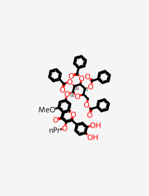 CCCOc1c(-c2ccc(O)c(O)c2)oc2cc(O[C@@H]3OC(COC(=O)c4ccccc4)[C@@H](OC(=O)c4ccccc4)C(OC(=O)c4ccccc4)[C@@H]3OC(=O)c3ccccc3)cc(OC)c2c1=O